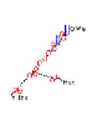 CCCCCC/C=C\COC(=O)CCCCCCCOCC(COCCOCCOCCOCCOC(=O)CNCCOC(=O)CNCCOC)OCCCCCCCC(=O)OC/C=C\CCCCCC